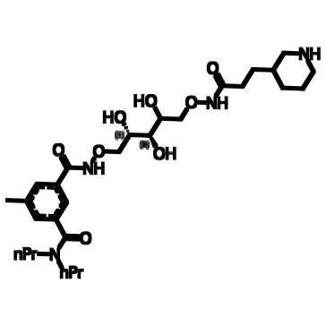 CCCN(CCC)C(=O)c1cc(C)cc(C(=O)NOC[C@H](O)[C@H](O)C(O)CONC(=O)CCC2CCCNC2)c1